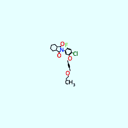 CCCOCC#CCOc1cc(N2C(=O)C3CCCCC3C2=O)c(F)cc1Cl